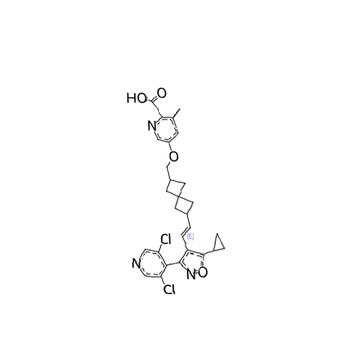 Cc1cc(OCC2CC3(CC(/C=C/c4c(-c5c(Cl)cncc5Cl)noc4C4CC4)C3)C2)cnc1C(=O)O